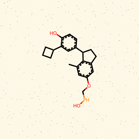 Cc1cc(OCPO)cc2c1C(c1ccc(O)c(C3CCC3)c1)CC2